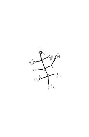 CC(C)(C)C(F)(CO)C(C)(C)C